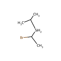 CC(C)[SiH2]C(C)Br